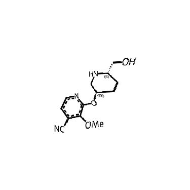 COc1c(C#N)ccnc1O[C@@H]1CC[C@@H](CO)NC1